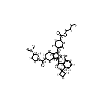 CCCCOC(=O)C1CC=C(c2nn(C(=O)c3c(Cl)cccc3C3(F)CCC3)c3c2CCC(C(=O)N2CC[C@@H](N(C)C)C2)C3)CC1